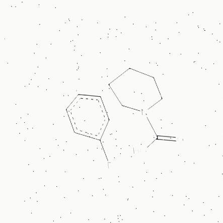 Fc1ccccc1.O=C(O)N1CCCCC1